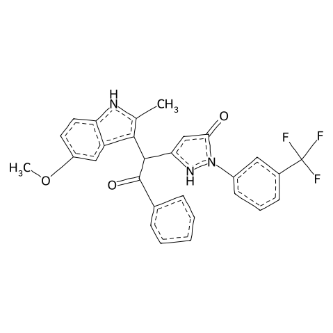 COc1ccc2[nH]c(C)c(C(C(=O)c3ccccc3)c3cc(=O)n(-c4cccc(C(F)(F)F)c4)[nH]3)c2c1